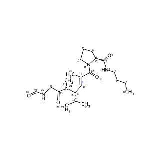 CCCCNC(=O)[C@@H]1CCCN1C(=O)/C(C)=C/[C@H](C(C)C)N(C)C(=O)CNC=O